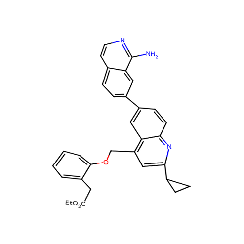 CCOC(=O)Cc1ccccc1OCc1cc(C2CC2)nc2ccc(-c3ccc4ccnc(N)c4c3)cc12